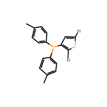 CCc1cc(P(c2ccc(C)cc2)c2ccc(C)cc2)c(CC)s1